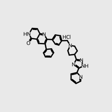 Cl.O=c1[nH]ccc2nc(-c3ccc(CN4CCC(c5n[nH]c(-c6ccccn6)n5)CC4)cc3)c(-c3ccccc3)cc12